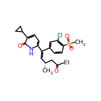 CCC(=O)C[C@H](C)/C=C(\c1ccc(S(C)(=O)=O)c(Cl)c1)c1ccc(C2CC2)c(=O)[nH]1